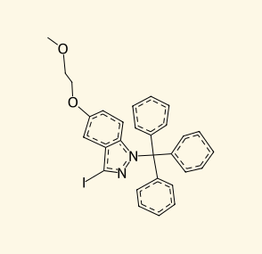 COCCOc1ccc2c(c1)c(I)nn2C(c1ccccc1)(c1ccccc1)c1ccccc1